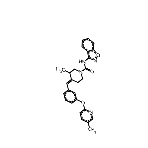 CC1CN(C(=O)Nc2noc3ccccc23)CCC1=Cc1cccc(Oc2ccc(C(F)(F)F)cn2)c1